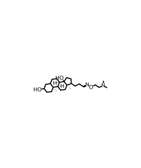 CN(C)CCO/N=C/CCC1CC[C@@]2(O)[C@@H]3CCC4CC(O)CC[C@]4(C)[C@@H]3CC[C@]12C